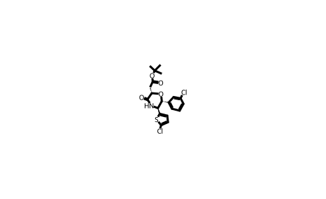 CC(C)(C)OC(=O)C[C@@H]1O[C@H](c2cccc(Cl)c2)[C@@H](c2ccc(Cl)s2)NC1=O